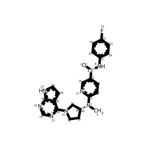 CN(c1ccc([S+]([O-])Nc2ccc(F)cc2)cn1)[C@@H]1CCN(c2ncnc3[nH]ccc23)C1